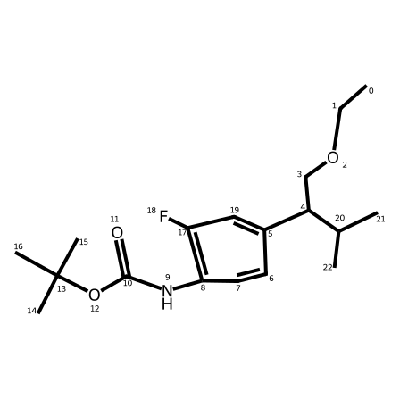 CCOCC(c1ccc(NC(=O)OC(C)(C)C)c(F)c1)C(C)C